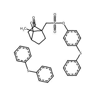 CC1(C)C2CCC1(CS(=O)(=O)Oc1ccc(Sc3ccccc3)cc1)C(=O)C2.c1ccc(Sc2ccccc2)cc1